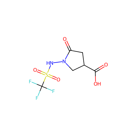 O=C(O)C1CC(=O)N(NS(=O)(=O)C(F)(F)F)C1